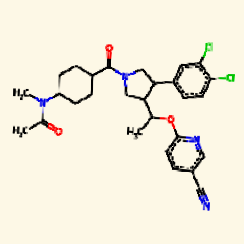 CC(=O)N(C)C1CCC(C(=O)N2CC(c3ccc(Cl)c(Cl)c3)C(C(C)Oc3ccc(C#N)cn3)C2)CC1